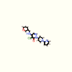 O=c1c(Cl)c(NCC2CCCOC2)cnn1C1CCN(c2ccccn2)CC1